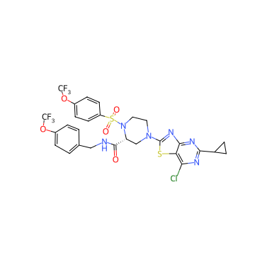 O=C(NCc1ccc(OC(F)(F)F)cc1)[C@H]1CN(c2nc3nc(C4CC4)nc(Cl)c3s2)CCN1S(=O)(=O)c1ccc(OC(F)(F)F)cc1